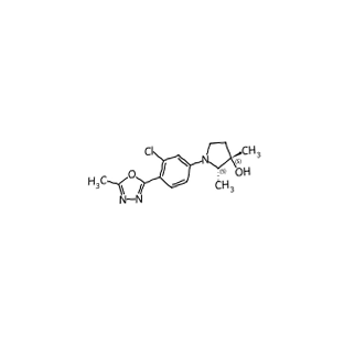 Cc1nnc(-c2ccc(N3CC[C@](C)(O)[C@@H]3C)cc2Cl)o1